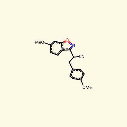 COc1ccc(CC(C#N)c2noc3cc(OC)ccc23)cc1